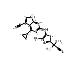 Cc1nc(C(C)(C)C#N)sc1Nc1nc(C2CC2)c2c(C#N)c[nH]c2n1